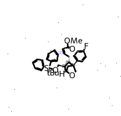 COC(=O)/C=C\C[C@H]1[C@H](CO[Si](c2ccccc2)(c2ccccc2)C(C)(C)C)[C@@H]2C[C@@]1(c1ccc(F)cc1)CO2